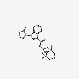 Cn1nccc1-n1cc(C(=O)OC2C[C@H]3COC[C@@H](C2)N3)c2ccccc21